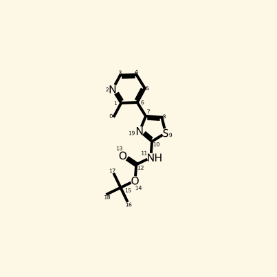 Cc1ncccc1-c1csc(NC(=O)OC(C)(C)C)n1